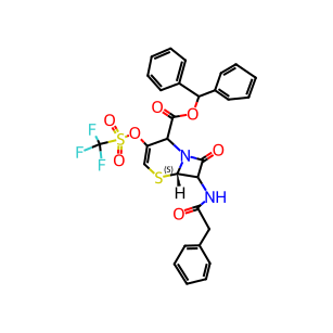 O=C(Cc1ccccc1)NC1C(=O)N2C(C(=O)OC(c3ccccc3)c3ccccc3)C(OS(=O)(=O)C(F)(F)F)=CS[C@@H]12